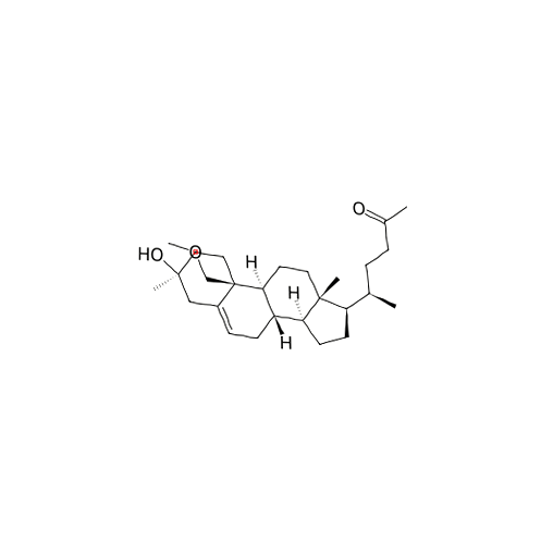 COC[C@]12CC[C@](C)(O)CC1=CC[C@@H]1[C@@H]2CC[C@]2(C)[C@@H]([C@H](C)CCC(C)=O)CC[C@@H]12